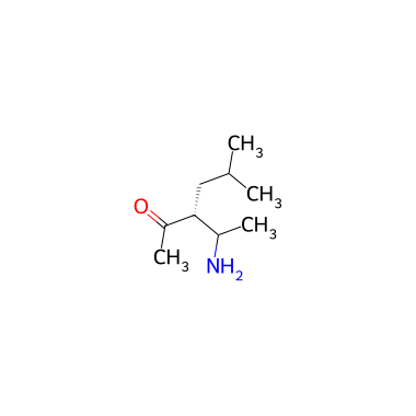 CC(=O)[C@H](CC(C)C)C(C)N